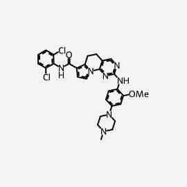 COc1cc(N2CCN(C)CC2)ccc1Nc1ncc2c(n1)-n1ccc(C(=O)Nc3c(Cl)cccc3Cl)c1CC2